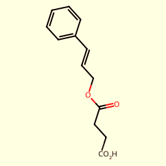 O=C(O)CCC(=O)OCC=Cc1ccccc1